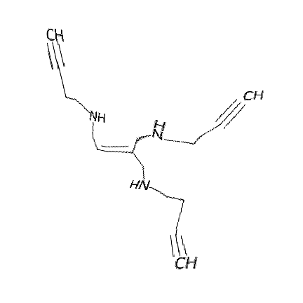 C#CCNC=C(NCC#C)NCC#C